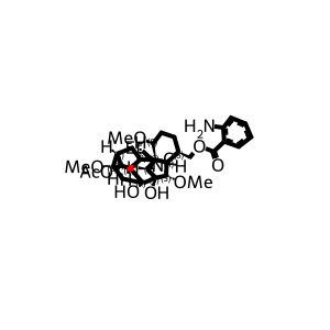 CCN1C[C@]2(COC(=O)c3ccccc3N)CC[C@H](OC)[C@@]34[C@@H]5C[C@H]6[C@H](OC(C)=O)[C@@H]5[C@](O)(C[C@@H]6OC)[C@@](O)([C@@H](OC)[C@H]23)[C@@H]14